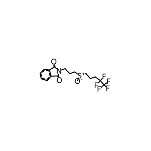 O=C1c2ccccc2C(=O)N1CCC[S+]([O-])CCCC(F)(F)C(F)(F)F